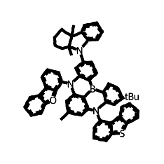 Cc1cc2c3c(c1)N(c1cccc4sc5ccccc5c14)c1cc(C(C)(C)C)ccc1B3c1ccc(N3c4ccccc4C4(C)CCCCC34C)cc1N2c1cccc2c1oc1ccccc12